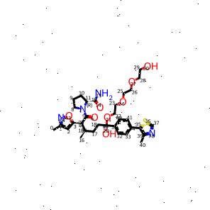 Cc1cc([C@@H](C(=O)N2CCC[C@@H]2C(N)=O)[C@H](C)CC[C@@](O)(OCCOCCOCCO)c2ccc(-c3scnc3C)cc2)on1